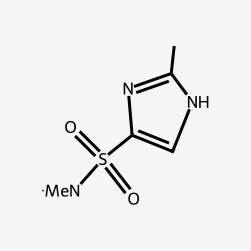 C[N]S(=O)(=O)c1c[nH]c(C)n1